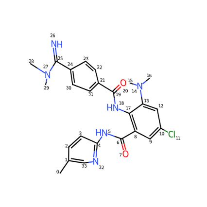 Cc1ccc(NC(=O)c2cc(Cl)cc(N(C)C)c2NC(=O)c2ccc(C(=N)N(C)C)cc2)nc1